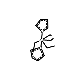 C[CH2][Ru]([CH2]C)([CH2]C)([CH2]C)([n]1cccc1)[n]1cccc1